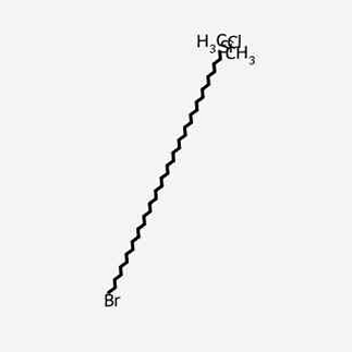 C[Si](C)(Cl)CCCCCCCCCCCCCCCCCCCCCCCCCCCCCCCCCCCCCCCBr